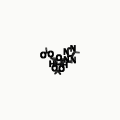 CC(=O)OC[C@H]1O[C@@H](n2cnc3c(C)ncnc32)[C@@H]2OC(C)(C)O[C@@H]21